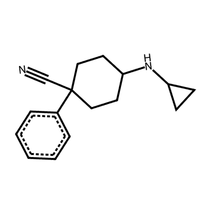 N#CC1(c2ccccc2)CCC(NC2CC2)CC1